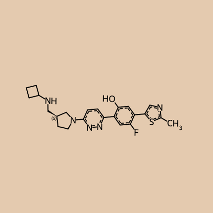 Cc1ncc(-c2cc(O)c(-c3ccc(N4CC[C@@H](CNC5CCC5)C4)nn3)cc2F)s1